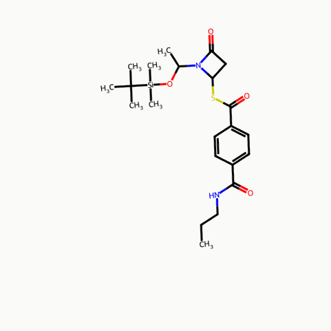 CCCNC(=O)c1ccc(C(=O)SC2CC(=O)N2C(C)O[Si](C)(C)C(C)(C)C)cc1